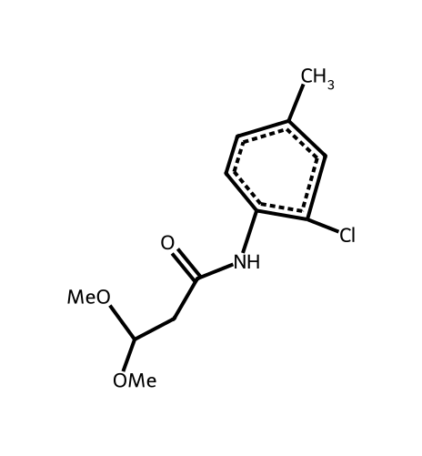 COC(CC(=O)Nc1ccc(C)cc1Cl)OC